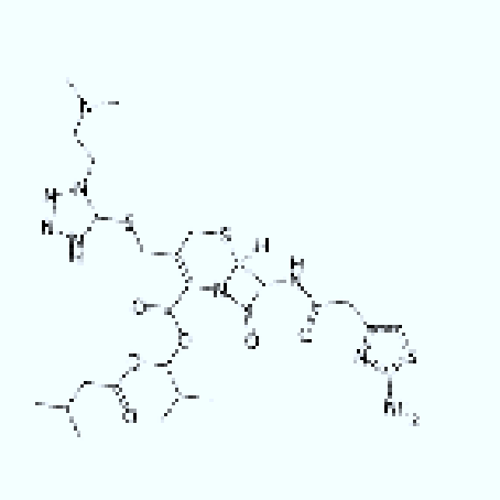 CC(C)CC(=O)OC(OC(=O)C1=C(CSC2NN=NN2CCN(C)C)CS[C@H]2[C@H](NC(=O)Cc3csc(N)n3)C(=O)N12)C(C)C